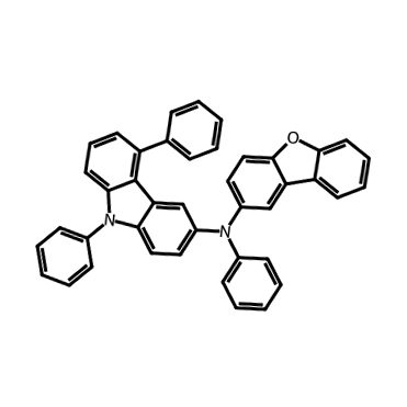 c1ccc(-c2cccc3c2c2cc(N(c4ccccc4)c4ccc5oc6ccccc6c5c4)ccc2n3-c2ccccc2)cc1